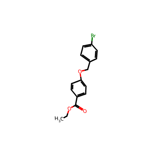 CCOC(=O)c1ccc(OCc2ccc(Br)cc2)cc1